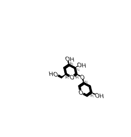 OC[C@H]1C[C@@H](O)[C@H](O)[C@@H](O[C@@H]2COC[C@H](O)C2)O1